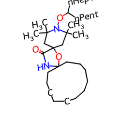 CCCCCCCC(CCCCC)ON1C(C)(C)CC2(CC1(C)C)OC1(CCCCCCCCCCC1)NC2=O